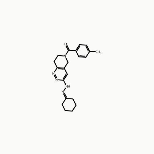 Cc1ccc(C(=O)N2CCc3nnc(NN=C4CCCCC4)cc3C2)cc1